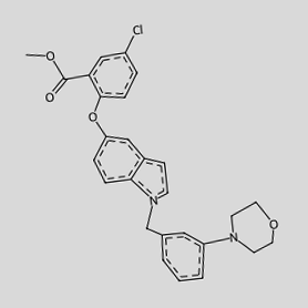 COC(=O)c1cc(Cl)ccc1Oc1ccc2c(ccn2Cc2cccc(N3CCOCC3)c2)c1